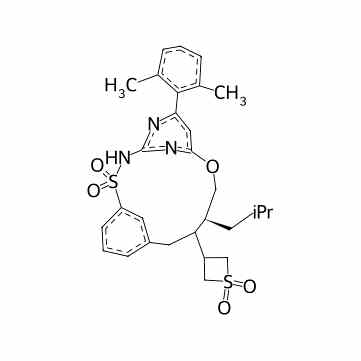 Cc1cccc(C)c1-c1cc2nc(n1)NS(=O)(=O)c1cccc(c1)CC(C1CS(=O)(=O)C1)[C@H](CC(C)C)CO2